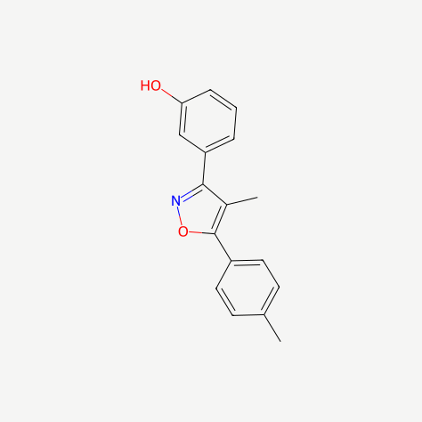 Cc1ccc(-c2onc(-c3cccc(O)c3)c2C)cc1